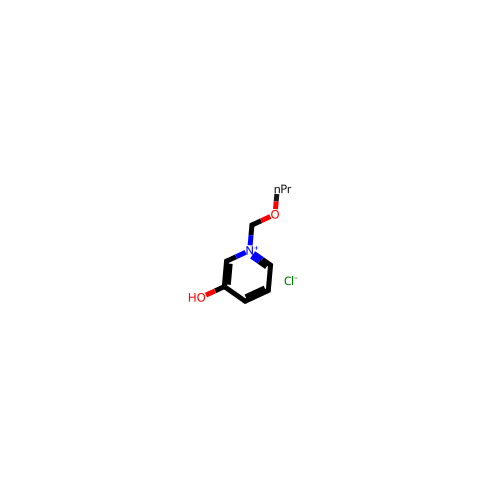 CCCOC[n+]1cccc(O)c1.[Cl-]